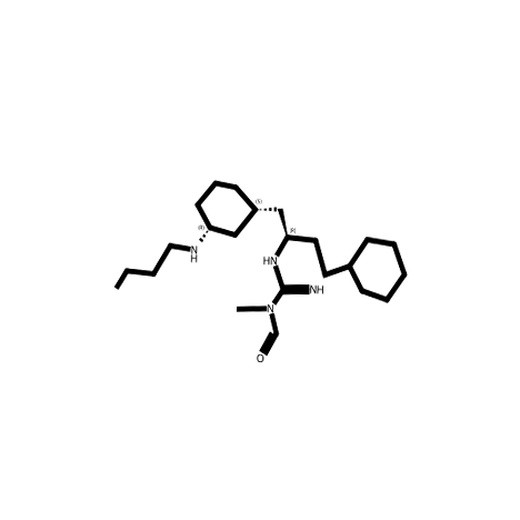 CCCCN[C@@H]1CCC[C@H](C[C@@H](CCC2CCCCC2)NC(=N)N(C)C=O)C1